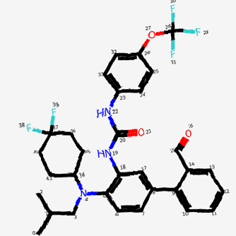 CC(C)CN(c1ccc(-c2ccccc2C=O)cc1NC(=O)Nc1ccc(OC(F)(F)F)cc1)C1CCC(F)(F)CC1